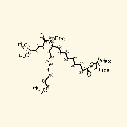 CCCCCCCCCCN(C(=O)CCCN(C)C)C(CCCCCCCCC(=O)O)CCCCCCCCC(=O)OC(CCCCCC)CCCCCC